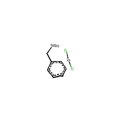 CNCc1ccccc1.[Cl][Zn][Cl]